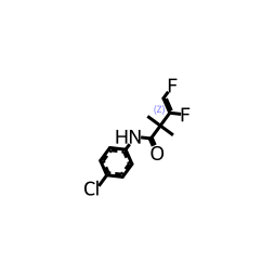 CC(C)(C(=O)Nc1ccc(Cl)cc1)/C(F)=C/F